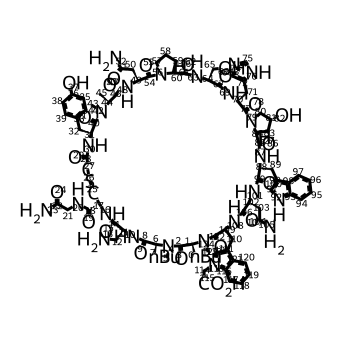 CCCC[C@H]1C(=O)N(C)[C@@H](CCCC)C(=O)N[C@@H](CN)C(=O)N[C@H](C(=O)NCC(N)=O)CSCC(=O)N[C@@H](Cc2ccc(O)cc2)C(=O)N(C)[C@@H](C)C(=O)N[C@@H](CC(N)=O)C(=O)N2CCC[C@H]2C(=O)N[C@@H](CO)C(=O)N[C@@H](Cc2cnc[nH]2)C(=O)N2C[C@H](O)C[C@H]2C(=O)N[C@@H](Cc2c[nH]c3ccccc23)C(=O)N[C@@H](CCN)C(=O)NC(Cc2cn(CC(=O)O)c3ccccc23)C(=O)N1C